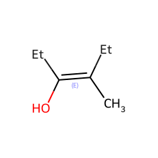 CC/C(C)=C(/O)CC